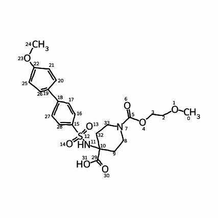 COCCOC(=O)N1CCC(NS(=O)(=O)c2ccc(-c3ccc(OC)cc3)cc2)(C(=O)O)CC1